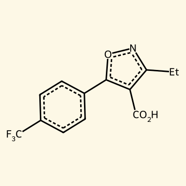 CCc1noc(-c2ccc(C(F)(F)F)cc2)c1C(=O)O